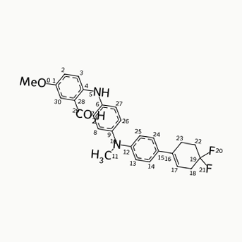 COc1ccc(Nc2ccc(N(C)c3ccc(C4=CCC(F)(F)CC4)cc3)cc2)c(C(=O)O)c1